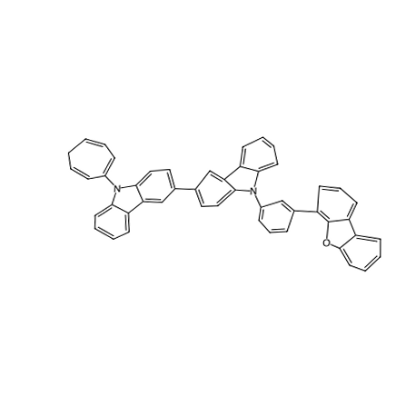 C1=CCC=CC(n2c3ccccc3c3cc(-c4ccc5c(c4)c4ccccc4n5-c4cccc(-c5cccc6c5oc5ccccc56)c4)ccc32)=C1